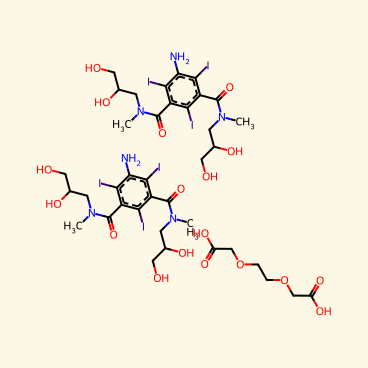 CN(CC(O)CO)C(=O)c1c(I)c(N)c(I)c(C(=O)N(C)CC(O)CO)c1I.CN(CC(O)CO)C(=O)c1c(I)c(N)c(I)c(C(=O)N(C)CC(O)CO)c1I.O=C(O)COCCOCC(=O)O